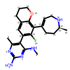 CNc1nc(N)nc(C)c1-c1cc2c(c(C3=CCN[C@@H](C)CC3)c1F)OCCC2